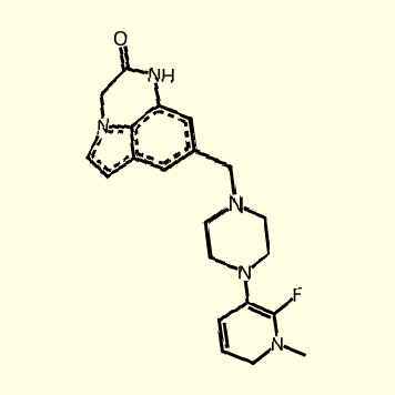 CN1CC=CC(N2CCN(Cc3cc4c5c(ccn5CC(=O)N4)c3)CC2)=C1F